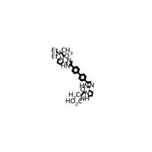 CCN(CC)[C@H](C)C(=O)N1CCC[C@H]1c1ncc(-c2ccc(-c3ccc(-c4cnc([C@@H]5CCCN5C(=O)[C@H](C)NC(=O)O)[nH]4)cc3)cc2)[nH]1